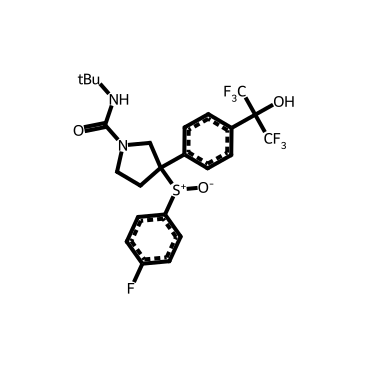 CC(C)(C)NC(=O)N1CCC(c2ccc(C(O)(C(F)(F)F)C(F)(F)F)cc2)([S+]([O-])c2ccc(F)cc2)C1